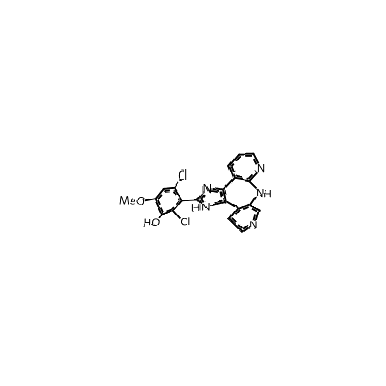 COc1cc(Cl)c(-c2nc3c([nH]2)-c2ccncc2Nc2ncccc2-3)c(Cl)c1O